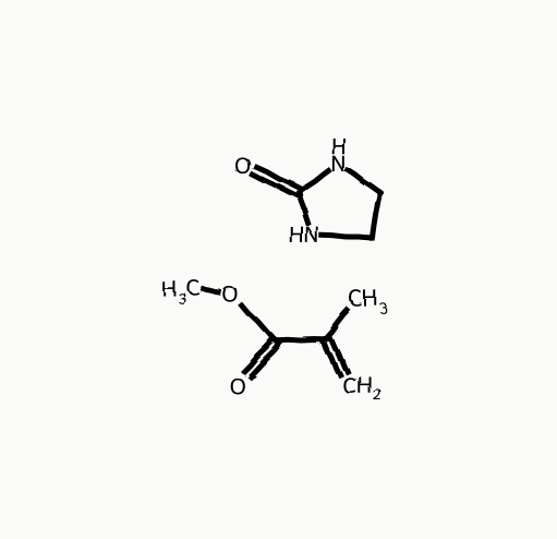 C=C(C)C(=O)OC.O=C1NCCN1